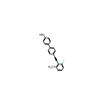 CCCCc1ccc(-c2ccc(C#Cc3c(C)cccc3F)cc2)cc1